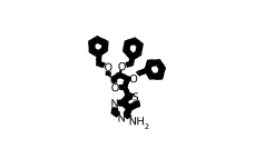 Nc1ncnc2c(C3O[C@H](COCc4ccccc4)[C@@H](OCc4ccccc4)[C@H]3OCc3ccccc3)scc12